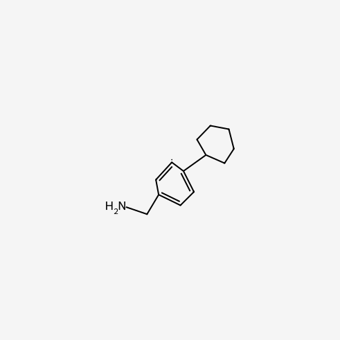 NCc1c[c]c(C2CCCCC2)cc1